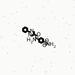 NN(C(=O)c1cnc(-c2ccccc2)nc1)c1ccc(S(N)(=O)=O)cc1